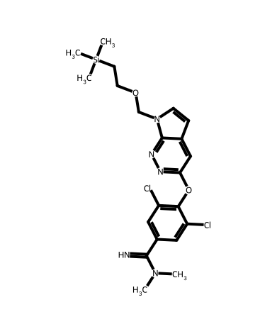 CN(C)C(=N)c1cc(Cl)c(Oc2cc3ccn(COCC[Si](C)(C)C)c3nn2)c(Cl)c1